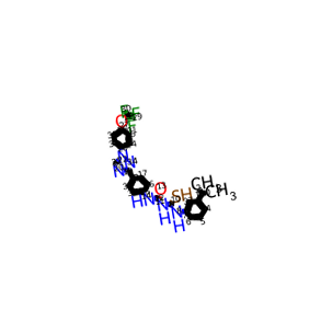 CC(C)c1cccc(NC(S)NC(=O)Nc2ccc(-c3ncn(-c4ccc(OC(F)(F)F)cc4)n3)cc2)c1